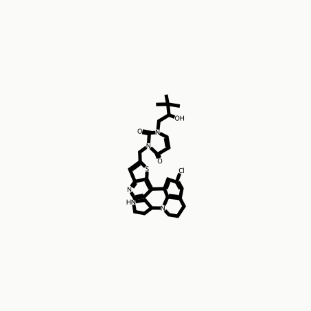 CC(C)(C)C(O)Cn1ccc(=O)n(Cc2cc3nccc(-c4cc(Cl)cc5c4N(C4CCNC4)CCC5)c3s2)c1=O